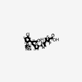 O=C(O)c1scc(-c2cnc([C@@H]3CCc4cc(-c5cc(Cl)ccc5-n5cnnn5)cc(=O)n43)[nH]2)c1F